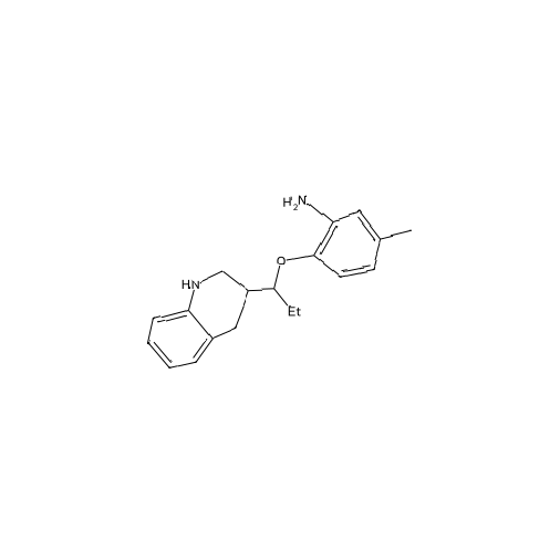 CCC(Oc1ccc(C)cc1N)C1CNc2ccccc2C1